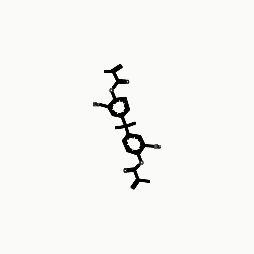 C=C(C)C(=O)Oc1ccc(C(C)(C)c2ccc(OC(=O)C(=C)C)c(C(C)CC)c2)cc1C(C)CC